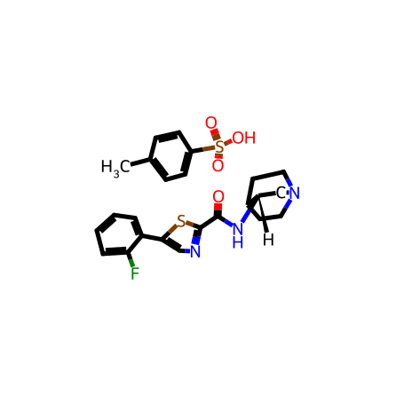 Cc1ccc(S(=O)(=O)O)cc1.O=C(N[C@H]1CN2CCC1CC2)c1ncc(-c2ccccc2F)s1